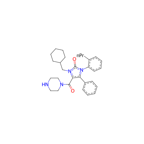 CCCc1ccccc1-n1c(-c2ccccc2)c(C(=O)N2CCNCC2)n(CC2CCCCC2)c1=O